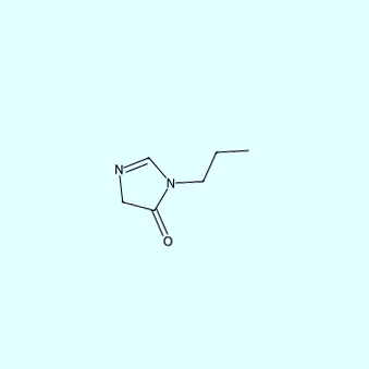 CCCN1C=NCC1=O